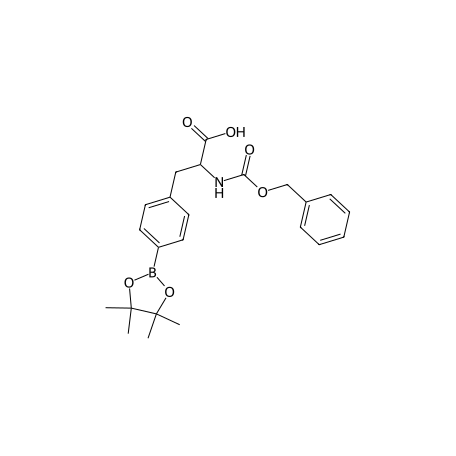 CC1(C)OB(c2ccc(CC(NC(=O)OCc3ccccc3)C(=O)O)cc2)OC1(C)C